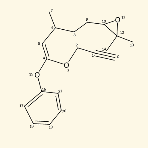 C#CCOC(=CC(C)CCC1OC1(C)C)Oc1ccccc1